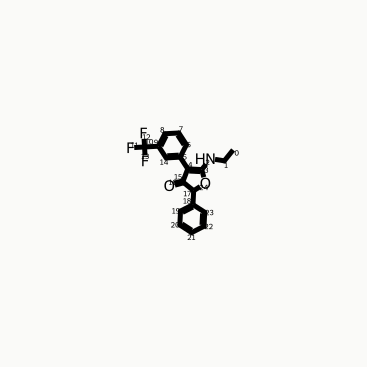 CCNC1=C(c2cccc(C(F)(F)F)c2)C(=O)C(c2ccccc2)O1